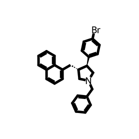 Brc1ccc([C@H]2CN(Cc3ccccc3)C[C@@H]2Cc2cccc3ccccc23)cc1